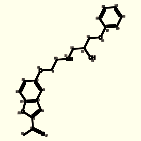 CC(=O)c1cc2cc(OCCNCC(O)COc3ccccc3)ccc2o1